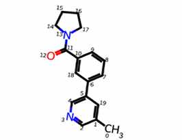 Cc1cncc(-c2cccc(C(=O)N3CCCC3)c2)c1